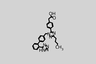 CCCCc1nc(-c2ccc(CC(=O)O)cc2)n(Cc2ccc(-c3ccccc3-c3nnn[nH]3)cc2)n1